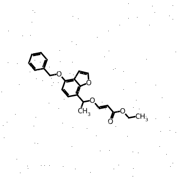 CCOC(=O)/C=C/OC(C)c1ccc(OCc2ccccc2)c2ccoc12